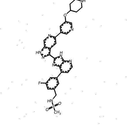 CS(=O)(=O)NCc1cc(F)cc(-c2ccnc3[nH]c(-c4n[nH]c5cnc(-c6cncc(OC7CCNCC7)c6)cc45)nc23)c1